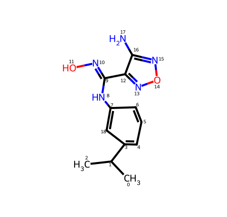 CC(C)c1cccc(N/C(=N\O)c2nonc2N)c1